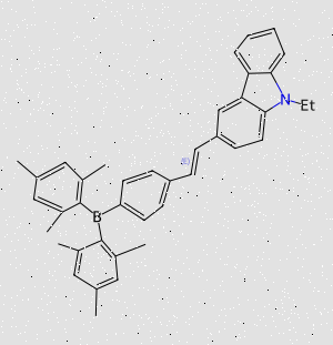 CCn1c2ccccc2c2cc(/C=C/c3ccc(B(c4c(C)cc(C)cc4C)c4c(C)cc(C)cc4C)cc3)ccc21